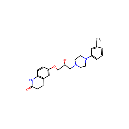 Cc1cccc(N2CCN(CC(O)COc3ccc4c(c3)CCC(=O)N4)CC2)c1